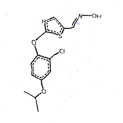 CC(C)Oc1ccc(Oc2ncc(/C=N/O)s2)c(Cl)c1